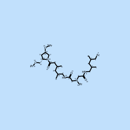 CC(=O)CC(C)CC(C)CNC(=O)CN(CC(=O)NCC(C)CC(C)CC(=O)N1C[C@H](OC(C)C)C[C@H]1COC(C)C)C(C)C